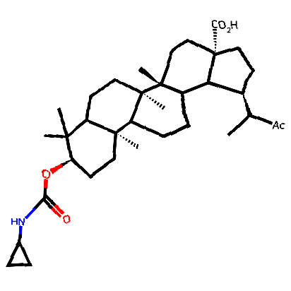 CC(=O)C(C)[C@@H]1CC[C@]2(C(=O)O)CC[C@]3(C)C(CCC4[C@@]5(C)CC[C@@H](OC(=O)NC6CC6)C(C)(C)C5CC[C@]43C)C12